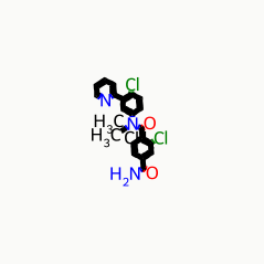 CC(C)(C)N(C(=O)c1ccc(C(N)=O)cc1Cl)c1ccc(Cl)c(-c2ccccn2)c1